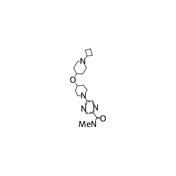 CNC(=O)c1cnc(N2CCC(OC3CCN(C4CCC4)CC3)CC2)cn1